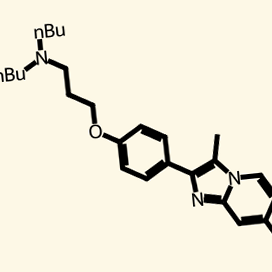 CCCCN(CCCC)CCCOc1ccc(-c2nc3cc(C)ccn3c2C)cc1